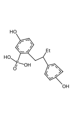 CCC(Cc1ccc(O)cc1P(=O)(O)O)c1ccc(O)cc1